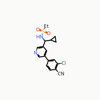 CCS(=O)(=O)NC(c1cncc(-c2ccc(C#N)c(Cl)c2)c1)C1CC1